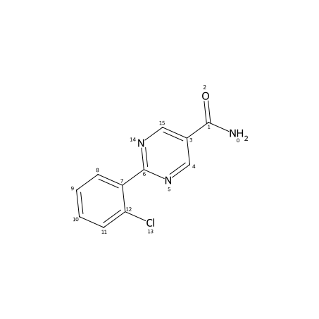 NC(=O)c1cnc(-c2ccccc2Cl)nc1